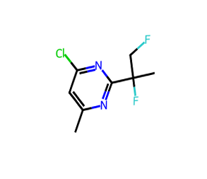 Cc1cc(Cl)nc(C(C)(F)CF)n1